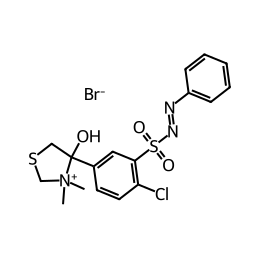 C[N+]1(C)CSCC1(O)c1ccc(Cl)c(S(=O)(=O)N=Nc2ccccc2)c1.[Br-]